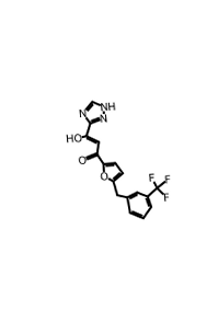 O=C(C=C(O)c1nc[nH]n1)c1ccc(Cc2cccc(C(F)(F)F)c2)o1